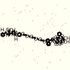 C[C@@H](C(=O)N[C@H](C(=O)N1CCC[C@H]1c1nc(-c2ccc(OCCOCCOCCOCCOCCO[C@H]3CC[C@H](Nc4nccc(-c5cnn(Cc6ccccc6)c5N(C)C)n4)CC3)c3ccccc23)cs1)C1CCCCC1)N(C)C(=O)OC(C)(C)C